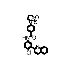 O=C(Nc1ccc(Cl)c(-c2ccc3ccccc3n2)c1)c1ccc(N2CCCS2(=O)=O)cc1